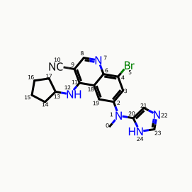 CN(c1cc(Br)c2ncc(C#N)c(NC3CCCC3)c2c1)c1cnc[nH]1